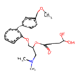 COc1ccc(-c2ccccc2OCC(CN(C)C)OC(=O)CCC(O)O)cc1